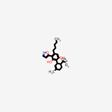 C=C(C)C1CCC(C)=CC1c1c(O)cc(CCCCC)c(-c2ccno2)c1O